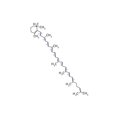 CC(C)=CCC/C(C)=C/C=C/C(C)=C/C=C/C(C)=C/C=C/C=C(C)/C=C/C=C(C)/C=C/C1=C(C)CCCC1(C)C